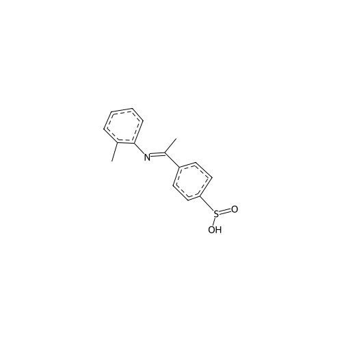 C/C(=N\c1ccccc1C)c1ccc(S(=O)O)cc1